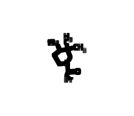 CC(C)C(=O)N1CCC(C(C)(C)C)C(C)(C)C1